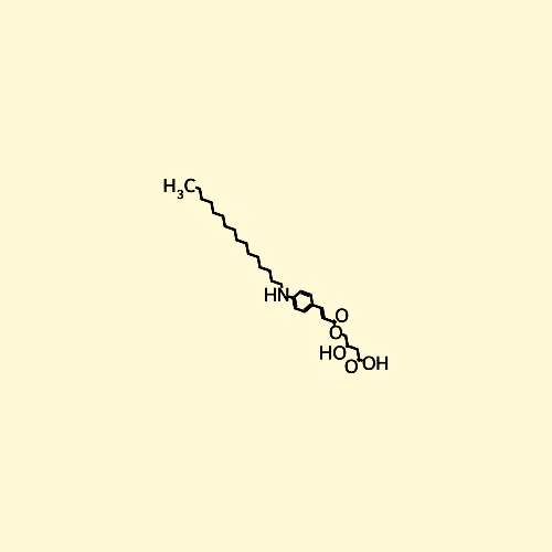 CCCCCCCCCCCCCCCCNc1ccc(C=CC(=O)OCC(O)CC(=O)O)cc1